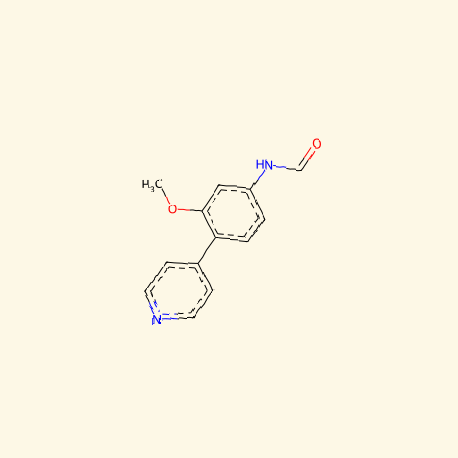 COc1cc(NC=O)ccc1-c1ccncc1